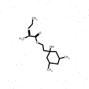 CC/I=C(/C)C(=O)OCCC1(O)CC(C)CC(C)C1